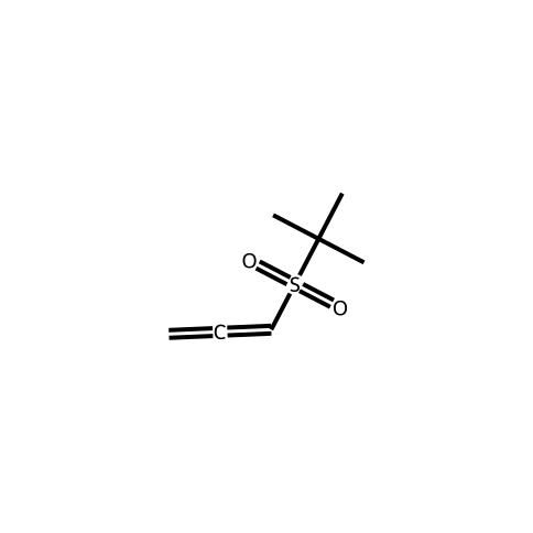 C=C=CS(=O)(=O)C(C)(C)C